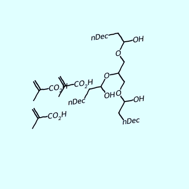 C=C(C)C(=O)O.C=C(C)C(=O)O.C=C(C)C(=O)O.CCCCCCCCCCCC(O)OCC(COC(O)CCCCCCCCCCC)OC(O)CCCCCCCCCCC